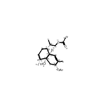 CC(=O)O[C@@H]1[CH][C@@]2(O)[C@H](C)CC[C@H](C(C)COC(=O)C(C)C)[C@H]2C=C1C